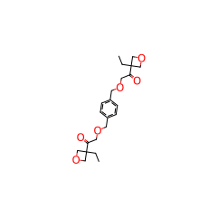 CCC1(C(=O)COCc2ccc(COCC(=O)C3(CC)COC3)cc2)COC1